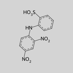 O=[N+]([O-])c1ccc(Nc2ccccc2S(=O)(=O)O)c([N+](=O)[O-])c1